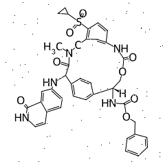 CN1Cc2cc(ccc2S(=O)(=O)C2CC2)NC(=O)OC[C@H](NC(=O)OCc2ccccc2)c2ccc(cc2)C(Nc2ccc3cc[nH]c(=O)c3c2)C1=O